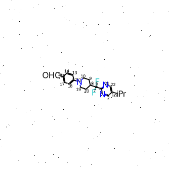 CC(C)c1cnc(C(F)(F)C2CCN(c3ccc(C=O)cc3)CC2)nc1